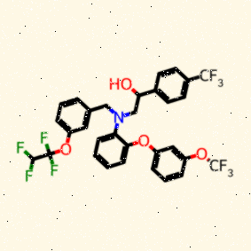 OC(CN(Cc1cccc(OC(F)(F)C(F)F)c1)c1ccccc1Oc1cccc(OC(F)(F)F)c1)c1ccc(C(F)(F)F)cc1